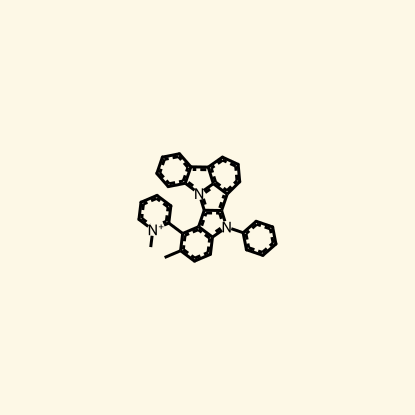 Cc1ccc2c(c1-c1cccc[n+]1C)c1c(c3cccc4c5ccccc5n1c43)n2-c1ccccc1